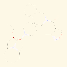 CCOC(=O)N1C2CCCCC1CC(N1CCC3(CC1)CN(C(=O)c1conc1C)Cc1ccccc13)CC2